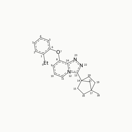 CCc1ccccc1Oc1cccn2c(C34CCC(C)(CC3)C4)nnc12